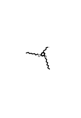 [CH2]CCCc1cc(OCCCCCCCC)cc(OCCCCCCCC)c1